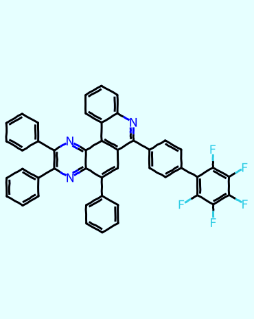 Fc1c(F)c(F)c(-c2ccc(-c3nc4ccccc4c4c3cc(-c3ccccc3)c3nc(-c5ccccc5)c(-c5ccccc5)nc34)cc2)c(F)c1F